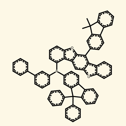 CC1(C)c2ccccc2-c2ccc(-c3c4oc5cccc(N(c6cccc(-c7ccccc7)c6)c6ccc7c(c6)C(c6ccccc6)(c6ccccc6)c6ccccc6-7)c5c4cc4oc5ccccc5c34)cc21